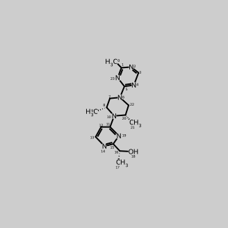 Cc1ncnc(N2C[C@@H](C)N(c3ccnc([C@@H](C)O)n3)[C@@H](C)C2)n1